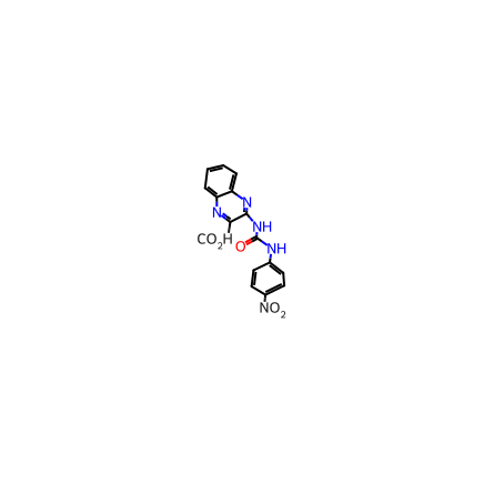 O=C(Nc1ccc([N+](=O)[O-])cc1)Nc1nc2ccccc2nc1C(=O)O